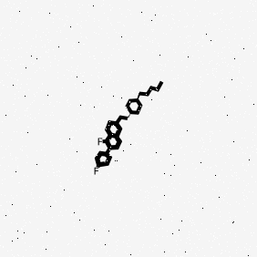 CCCCC[C@H]1CC[C@H](CCc2ccc3c(F)c(-c4ccc(F)cc4)ccc3c2)CC1